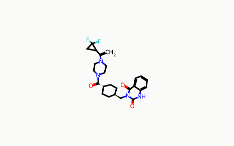 C=C(C1CC1(F)F)N1CCN(C(=O)[C@H]2CC[C@H](Cn3c(=O)[nH]c4ccccc4c3=O)CC2)CC1